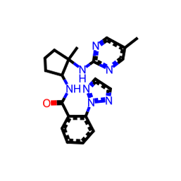 Cc1cnc(NC2(C)CCCC2NC(=O)c2ccccc2-n2nccn2)nc1